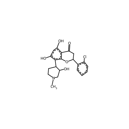 CN1CCC(c2c(O)cc(O)c3c2OC(c2ccccc2Cl)CC3=O)C(O)C1